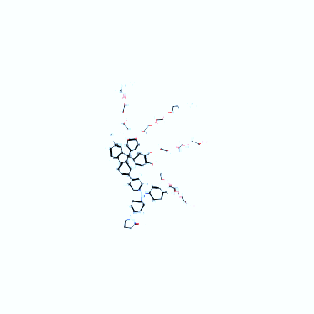 COCCOCCOCCOc1ccc(C2(c3ccc(COCCOCCOCCO)c(COCCOCCOCCO)c3)c3cc(C)ccc3-c3ccc(-c4ccc(N(c5ccc(C)cc5)c5ccc(N6CCCC6=O)cc5)cc4)cc32)cc1OCCOCCOCCOC